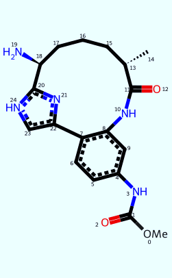 COC(=O)Nc1ccc2c(c1)NC(=O)[C@@H](C)CCC[C@H](N)c1nc-2c[nH]1